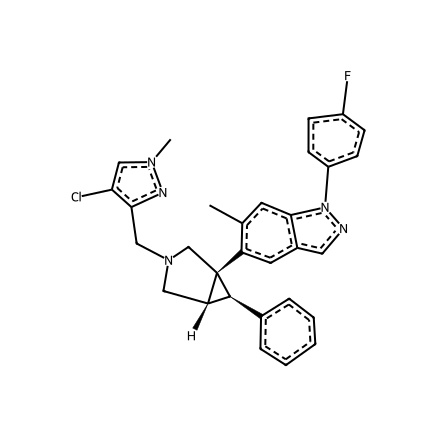 Cc1cc2c(cnn2-c2ccc(F)cc2)cc1[C@]12CN(Cc3nn(C)cc3Cl)C[C@H]1[C@@H]2c1ccccc1